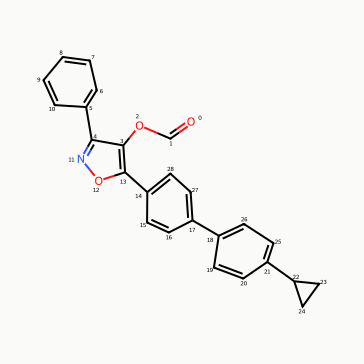 O=COc1c(-c2ccccc2)noc1-c1ccc(-c2ccc(C3CC3)cc2)cc1